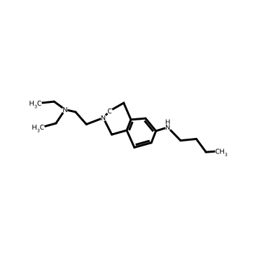 CCCCNc1ccc2c(c1)CCN(CCN(CC)CC)C2